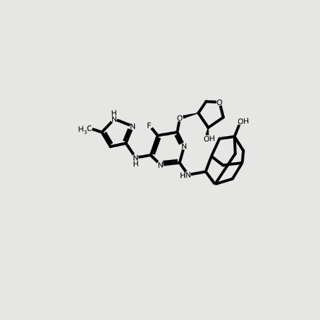 Cc1cc(Nc2nc(NC3C4CC5CC3CC(O)(C5)C4)nc(O[C@H]3COC[C@H]3O)c2F)n[nH]1